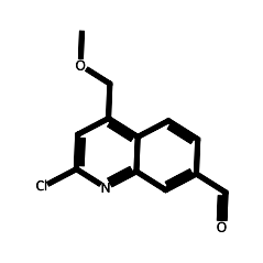 COCc1cc(Cl)nc2cc(C=O)ccc12